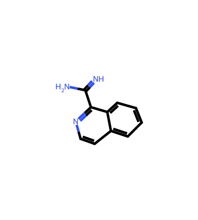 N=C(N)c1nccc2ccccc12